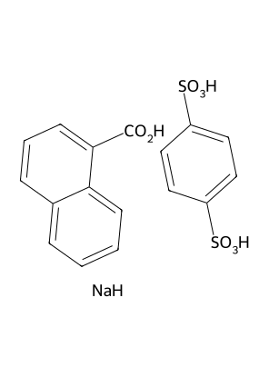 O=C(O)c1cccc2ccccc12.O=S(=O)(O)c1ccc(S(=O)(=O)O)cc1.[NaH]